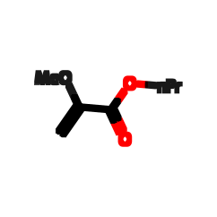 C=C(OC)C(=O)OCCC